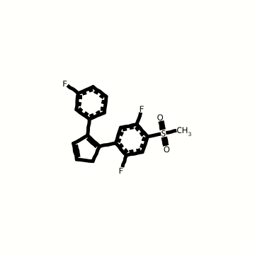 CS(=O)(=O)c1cc(F)c(C2=C(c3cccc(F)c3)C=CC2)cc1F